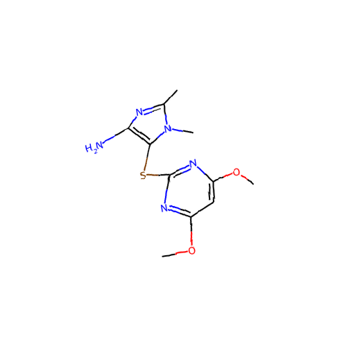 COc1cc(OC)nc(Sc2c(N)nc(C)n2C)n1